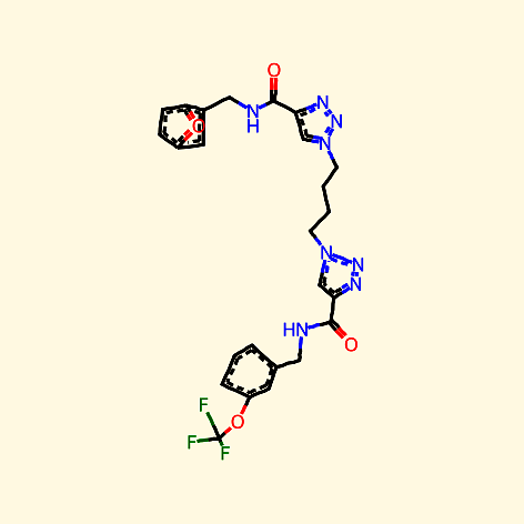 O=C(NCc1cccc(OC(F)(F)F)c1)c1cn(CCCCn2cc(C(=O)NCc3cc4ccc3o4)nn2)nn1